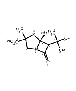 CC1(C(=O)O)CN2C(=O)C(C(C)(C)O)[C@H]2S1